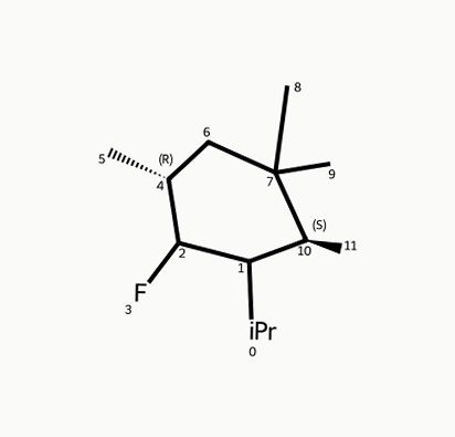 CC(C)C1C(F)[C@H](C)CC(C)(C)[C@H]1C